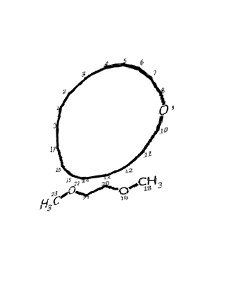 C1CCCCCCCCOCCCCCCCC1.COCCOC